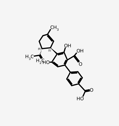 C=C(C)[C@@H]1CCC(C)=C[C@H]1c1c(O)cc(-c2ccc(C(=O)O)cc2)c(C(=O)O)c1O